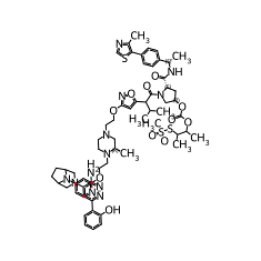 Cc1ncsc1-c1ccc([C@H](C)NC(=O)[C@@H]2C[C@@H](OC(=O)OC(C)C(C)SS(C)(=O)=O)CN2C(=O)C(c2cc(OCCN3CCN(CCOc4cc(N5C6CCC5CN(c5cc(-c7ccccc7O)nnc5N)C6)ccn4)[C@H](C)C3)no2)C(C)C)cc1